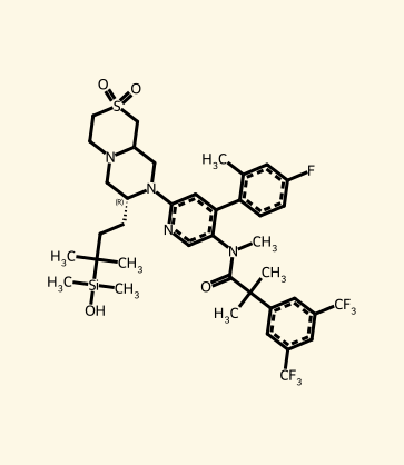 Cc1cc(F)ccc1-c1cc(N2CC3CS(=O)(=O)CCN3C[C@H]2CCC(C)(C)[Si](C)(C)O)ncc1N(C)C(=O)C(C)(C)c1cc(C(F)(F)F)cc(C(F)(F)F)c1